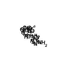 CC(=O)O[C@@H]1[C@@H]2OP(=O)(O)OC[C@H]2O[C@H]1n1cnc2c(N)ncnc21